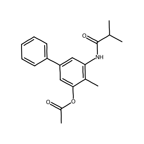 CC(=O)Oc1cc(-c2ccccc2)cc(NC(=O)C(C)C)c1C